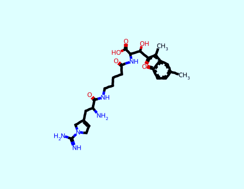 Cc1ccc2oc(C(O)C(NC(=O)CCCCNC(=O)C(N)CC3=CCN(C(=N)N)C3)C(=O)O)c(C)c2c1